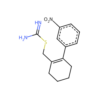 N=C(N)SCC1=C(c2cccc([N+](=O)[O-])c2)CCCC1